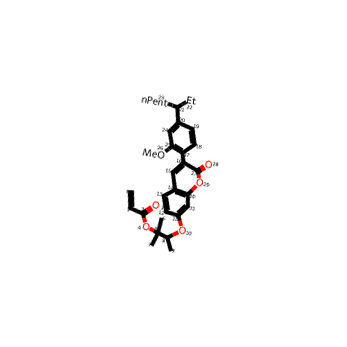 C=CC(=O)OC(C)(C)C(C)Oc1ccc2cc(-c3ccc(C(CC)CCCCC)cc3OC)c(=O)oc2c1